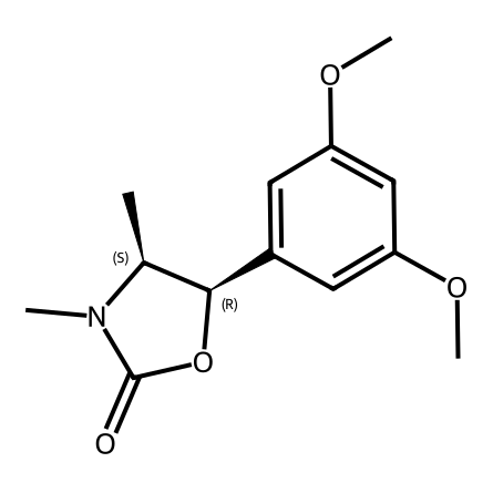 COc1cc(OC)cc([C@H]2OC(=O)N(C)[C@H]2C)c1